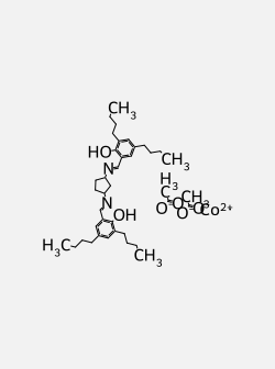 CC(=O)[O-].CC(=O)[O-].CCCCc1cc(C=NC2CCC(N=Cc3cc(CCCC)cc(CCCC)c3O)C2)c(O)c(CCCC)c1.[Co+2]